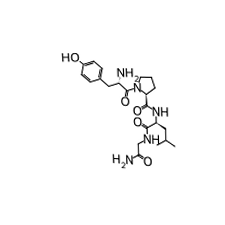 CC(C)C[C@H](NC(=O)[C@@H]1CCCN1C(=O)[C@@H](N)Cc1ccc(O)cc1)C(=O)NCC(N)=O